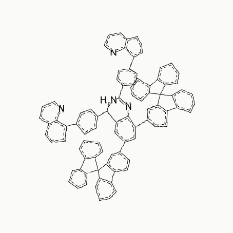 CC(c1ccc(-c2cccc3cccnc23)cc1)c1cc(-c2ccc3c(c2)C2(c4ccccc4-c4ccccc42)c2ccccc2-3)cc(-c2ccc3c(c2)C2(c4ccccc4-c4ccccc42)c2ccccc2-3)c1/N=C(\N)c1ccc(-c2cccc3cccnc23)cc1